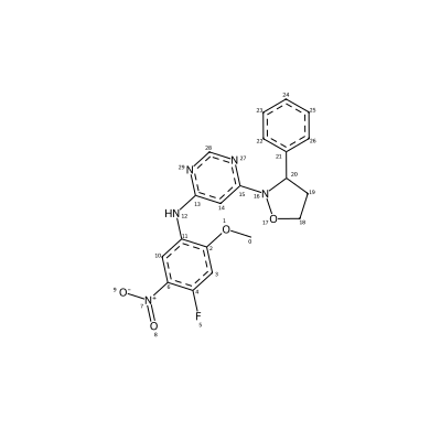 COc1cc(F)c([N+](=O)[O-])cc1Nc1cc(N2OCCC2c2ccccc2)ncn1